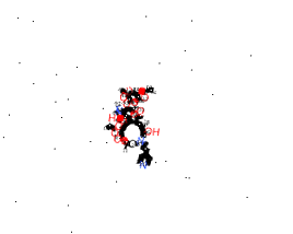 CCC(=O)O[C@@H]1CC(=O)O[C@H](C)CCN(CCCc2ccncc2)C[C@H](O)[C@H](C)C[C@H](CC=O)[C@H]([C@@H]2O[C@H](C)[C@@H](O[C@@H]3C[C@@](C)(OC(C)=O)[C@@H](OC(=O)CC)[C@H](C)O3)[C@H](N(C)C)[C@H]2O)[C@@H]1OC